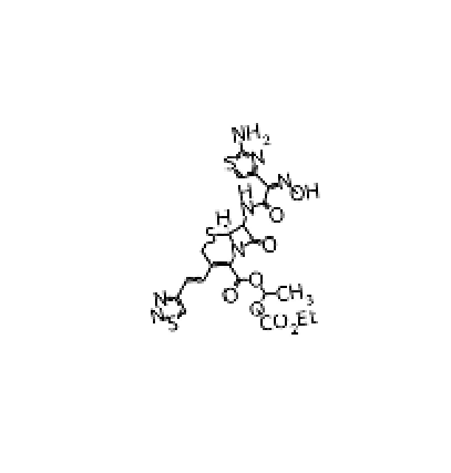 CCOC(=O)OC(C)OC(=O)C1=C(/C=C/c2csnn2)CS[C@H]2C(NC(=O)/C(=N\O)c3csc(N)n3)C(=O)N12